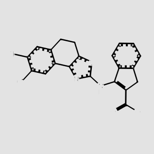 O=C(O)C1=C(Nc2nc3c(s2)CCc2cc(Cl)c(Cl)cc2-3)c2ccccc2C1